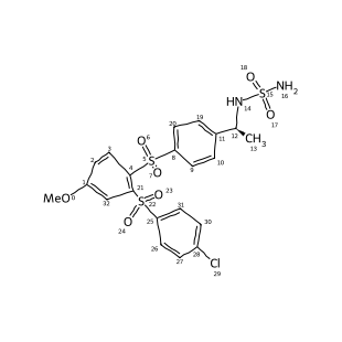 COc1ccc(S(=O)(=O)c2ccc([C@H](C)NS(N)(=O)=O)cc2)c(S(=O)(=O)c2ccc(Cl)cc2)c1